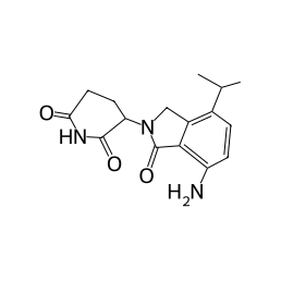 CC(C)c1ccc(N)c2c1CN(C1CCC(=O)NC1=O)C2=O